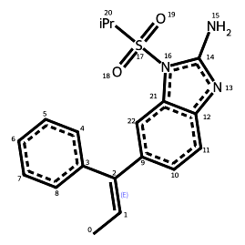 C/C=C(\c1ccccc1)c1ccc2nc(N)n(S(=O)(=O)C(C)C)c2c1